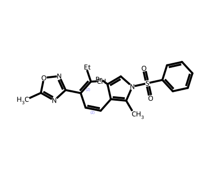 CC/C(C)=C(/C=C\c1c(Br)cn(S(=O)(=O)c2ccccc2)c1C)c1noc(C)n1